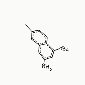 Cc1ccc2c(C(C)(C)C)cc(N)cc2c1